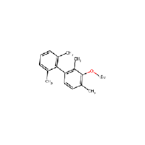 Cc1ccc(-c2c(C)cccc2C)c(C)c1OC(C)(C)C